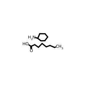 CCCCCCCC(=O)O.NC1CCCCC1